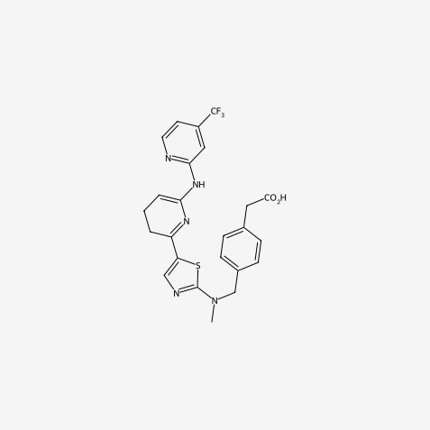 CN(Cc1ccc(CC(=O)O)cc1)c1ncc(C2=NC(Nc3cc(C(F)(F)F)ccn3)=CCC2)s1